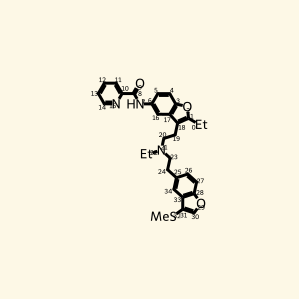 CCc1oc2ccc(NC(=O)c3ccccn3)cc2c1CCN(CC)CCc1ccc2occ(SC)c2c1